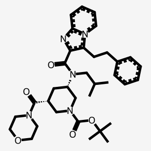 CC(C)CN(C(=O)c1nc2ccccn2c1CCc1ccccc1)[C@H]1C[C@@H](C(=O)N2CCOCC2)CN(C(=O)OC(C)(C)C)C1